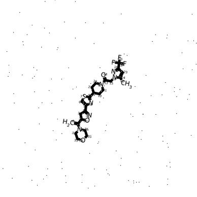 C=C(C1CC(c2csc(C3CCN(C(=O)Cn4nc(C(F)(F)F)cc4C)CC3)n2)=NO1)N1CCOCC1